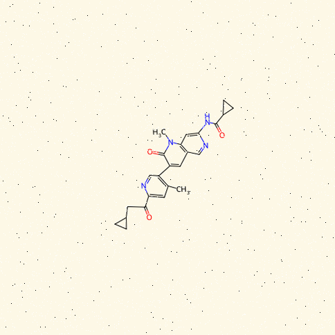 Cc1cc(C(=O)CC2CC2)ncc1-c1cc2cnc(NC(=O)C3CC3)cc2n(C)c1=O